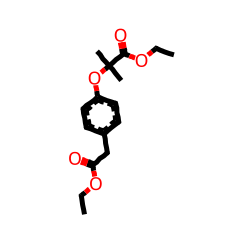 CCOC(=O)Cc1ccc(OC(C)(C)C(=O)OCC)cc1